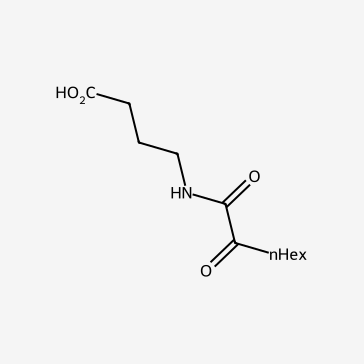 CCCCCCC(=O)C(=O)NCCCC(=O)O